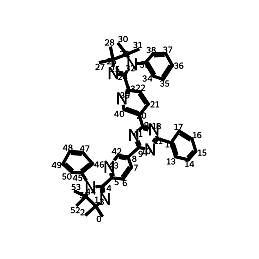 CC1(C)N=C(c2ccc(-c3nc(-c4ccccc4)nc(-c4ccc(C5=NC(C)(C)C(C)(C)N5c5ccccc5)nc4)n3)cn2)N(c2ccccc2)C1(C)C